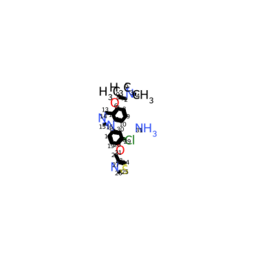 C[C@H](CN(C)C)Oc1cccc2c1C=NCN2c1ccc(OCc2cscn2)c(Cl)c1.N